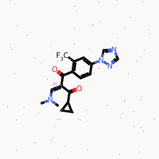 CN(C)/C=C(/C(=O)c1ccc(-n2cncn2)cc1C(F)(F)F)C(=O)C1CC1